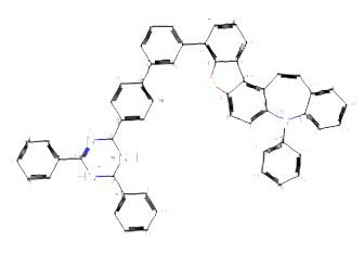 C1=Cc2c(ccc3oc4c(-c5cccc(-c6ccc(C7N=C(c8ccccc8)NC(c8ccccc8)N7)cc6)c5)cccc4c23)N(c2ccccc2)c2ccccc21